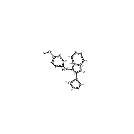 COc1ccc(Nc2c(-c3ccco3)nc3cnccn23)cc1